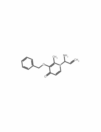 C=CC(N)n1ccc(=O)c(OCc2ccccc2)c1C